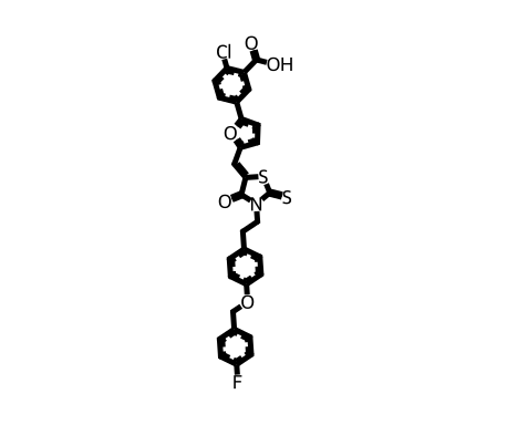 O=C(O)c1cc(-c2ccc(/C=C3\SC(=S)N(CCc4ccc(OCc5ccc(F)cc5)cc4)C3=O)o2)ccc1Cl